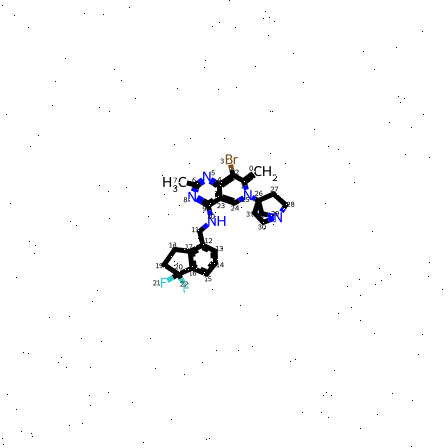 C=C1C(Br)=c2nc(C)nc(NCc3cccc4c3CCC4(F)F)c2=CN1C12CCN(CC1)C2